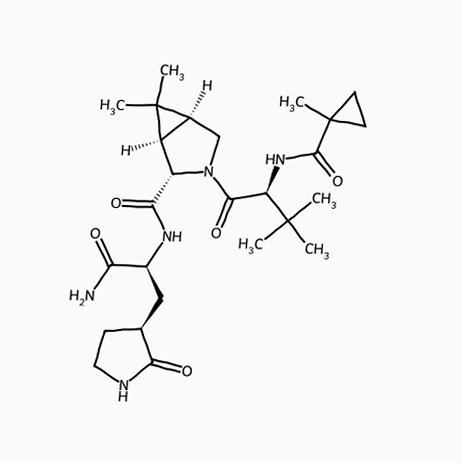 CC1(C(=O)N[C@H](C(=O)N2C[C@H]3[C@@H]([C@H]2C(=O)N[C@@H](C[C@@H]2CCNC2=O)C(N)=O)C3(C)C)C(C)(C)C)CC1